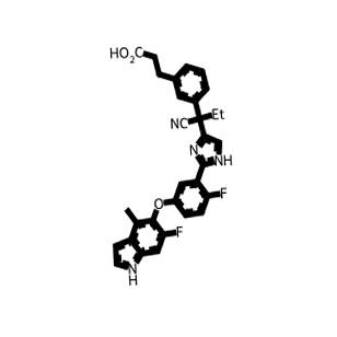 CCC(C#N)(c1cccc(CCC(=O)O)c1)c1c[nH]c(-c2cc(Oc3c(F)cc4[nH]ccc4c3C)ccc2F)n1